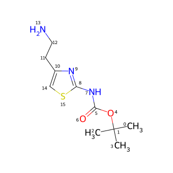 CC(C)(C)OC(=O)Nc1nc(CCN)cs1